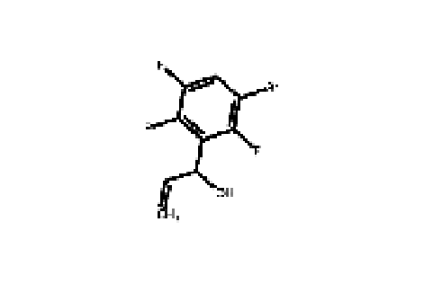 C=CC(O)c1c(F)c(F)cc(Br)c1F